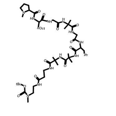 CCCCCCCCC(NC(=O)C1CCCN1C)C(=O)NCC(=O)NC(C)(C)C(=O)NCC(=O)NC(CC(C)C)C(=O)NC(C)(C)C(=O)NC(C)(C)C(=O)NCCC(=O)NCCN(C)C(=O)OC(C)(C)C